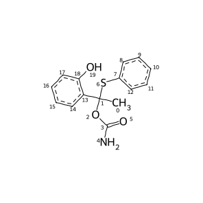 CC(OC(N)=O)(Sc1ccccc1)c1ccccc1O